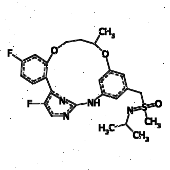 CC(C)N=S(C)(=O)Cc1cc2cc(c1)OC(C)CCOc1cc(F)ccc1-c1nc(ncc1F)N2